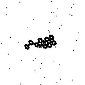 C1=CC2c3ccccc3C3(c4ccccc4-c4c(N5c6ccccc6-c6nc7ccc(-c8cccc(-c9ccccc9)c8)cc7c7cccc5c67)cccc43)C2C=C1